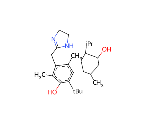 CC1CCC(C(C)C)C(O)C1.Cc1cc(C(C)(C)C)c(O)c(C)c1CC1=NCCN1